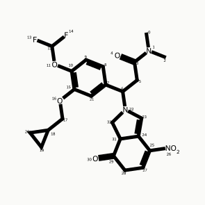 CN(C)C(=O)CC(c1ccc(OC(F)F)c(OCC2CC2)c1)N1C=C2C([N+](=O)[O-])=CCC(=O)C2C1